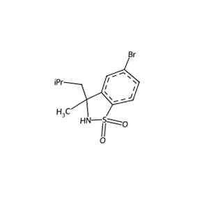 CC(C)CC1(C)NS(=O)(=O)c2ccc(Br)cc21